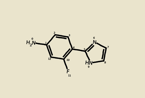 Nc1ccc(-c2ncc[nH]2)c(F)c1